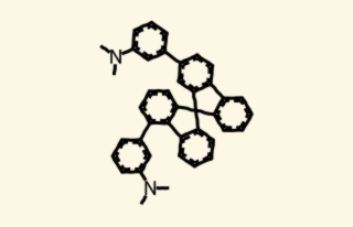 CN(C)c1cccc(-c2ccc3c(c2)C2(c4ccccc4-3)c3ccccc3-c3c(-c4cccc(N(C)C)c4)cccc32)c1